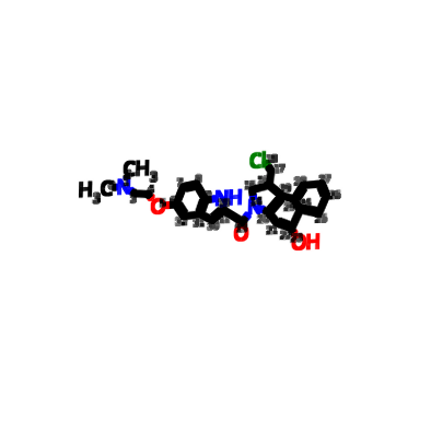 CN(C)CCOc1ccc2[nH]c(C(=O)N3CC(CCl)c4c3cc(O)c3ccccc43)cc2c1